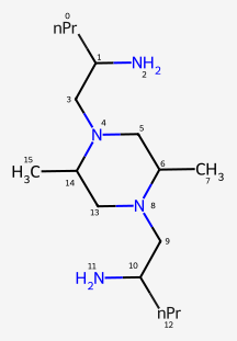 CCCC(N)CN1CC(C)N(CC(N)CCC)CC1C